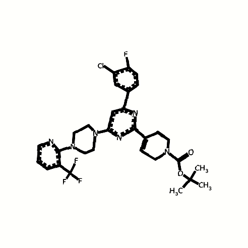 CC(C)(C)OC(=O)N1CC=C(c2nc(-c3ccc(F)c(Cl)c3)cc(N3CCN(c4ncccc4C(F)(F)F)CC3)n2)CC1